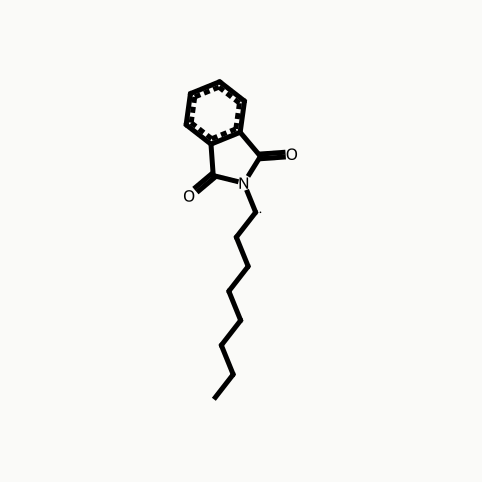 CCCCCCC[CH]N1C(=O)c2ccccc2C1=O